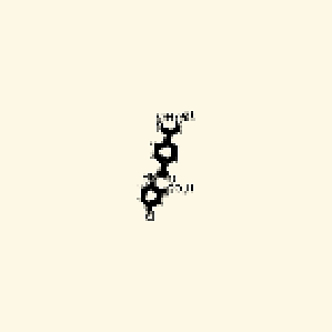 CCOCC(=NO)c1ccc(C(=O)Nc2ccc(Cl)cc2C(=O)O)cc1